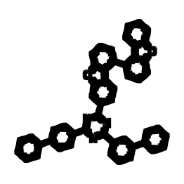 c1ccc(-c2ccc(-c3nc(-c4cccc(-c5ccccc5)c4)nc(-c4ccc5c(c4)oc4cccc(-c6cccc7oc8ccccc8c67)c45)n3)cc2)cc1